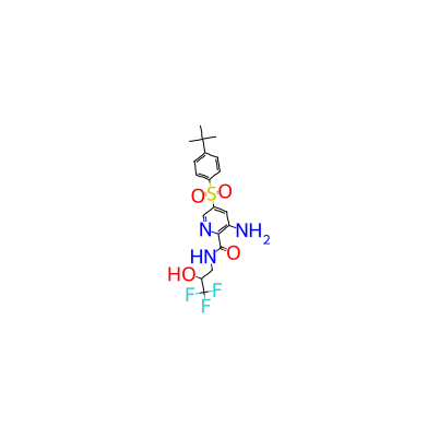 CC(C)(C)c1ccc(S(=O)(=O)c2cnc(C(=O)NCC(O)C(F)(F)F)c(N)c2)cc1